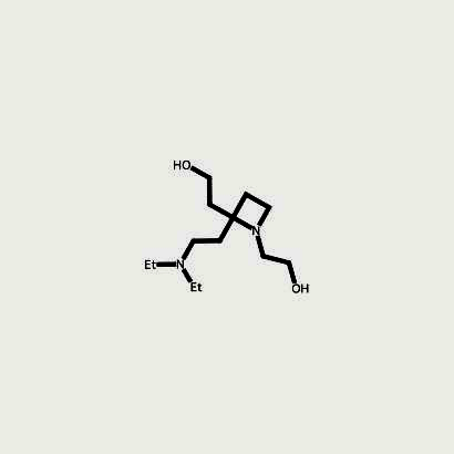 CCN(CC)CCC1(CCO)CCN1CCO